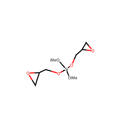 CO[Si](OC)(OCC1CO1)OCC1CO1